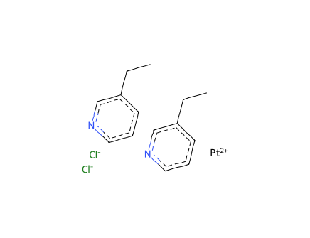 CCc1cccnc1.CCc1cccnc1.[Cl-].[Cl-].[Pt+2]